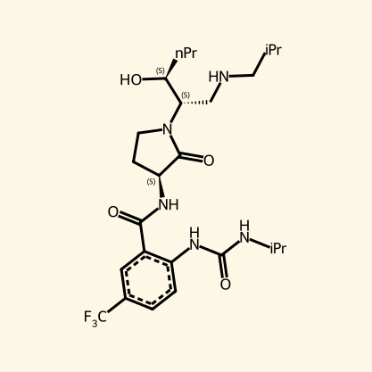 CCC[C@H](O)[C@H](CNCC(C)C)N1CC[C@H](NC(=O)c2cc(C(F)(F)F)ccc2NC(=O)NC(C)C)C1=O